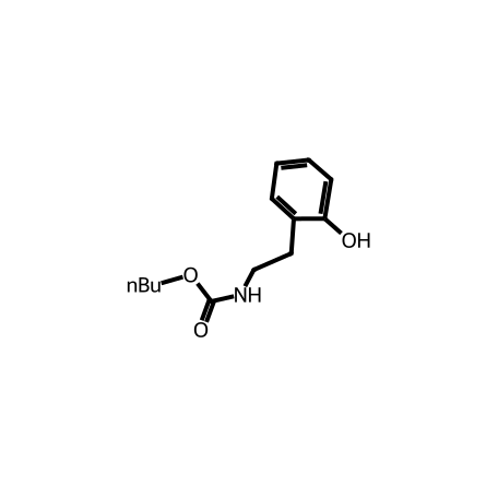 CCCCOC(=O)NCCc1ccccc1O